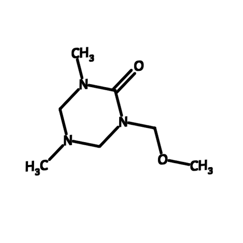 COCN1CN(C)CN(C)C1=O